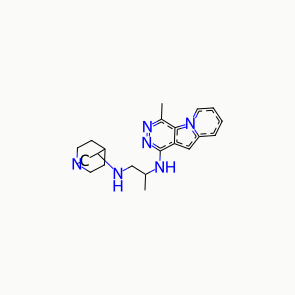 Cc1nnc(NC(C)CNC2CN3CCC2CC3)c2cc3ccccn3c12